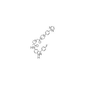 CC1(C(=O)Nc2ccc3[nH]nc(-c4ccc(F)cc4)c3c2)CCN(CC(=O)N2CCN(c3ccc(-c4ncccn4)cc3)CC2)C1